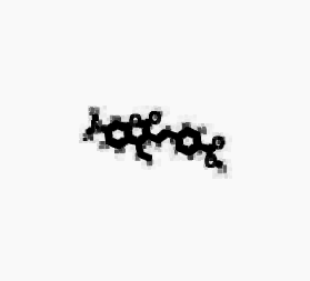 CCc1c(/C=C/c2ccc(C(=O)OC)cc2)c(=O)oc2cc(N(C)C)ccc12